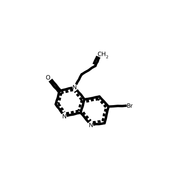 C=CCn1c(=O)cnc2ncc(Br)cc21